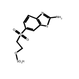 Nc1nc2ccc(S(=O)(=O)CCOS(=O)(=O)O)cc2s1